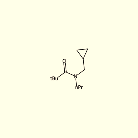 CCCN(CC1CC1)C(=O)C(C)(C)C